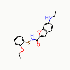 CCNc1ccc2cc(C(=O)NSc3ccccc3OCC)oc2c1